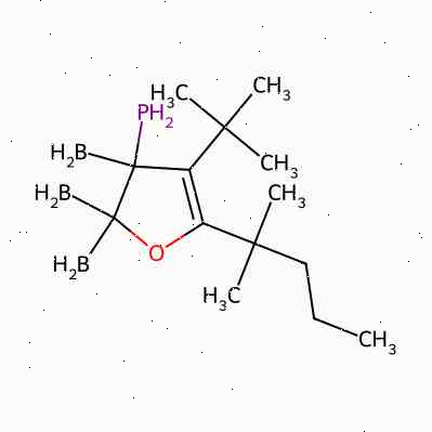 BC1(B)OC(C(C)(C)CCC)=C(C(C)(C)C)C1(B)P